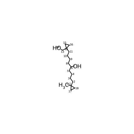 CC1(CCCCC(O)CCCCC2(CO)CC2)CC1